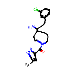 NC(Cc1cccc(Cl)c1)C1CCN(C(=O)c2cc(C(F)(F)F)n[nH]2)CC1